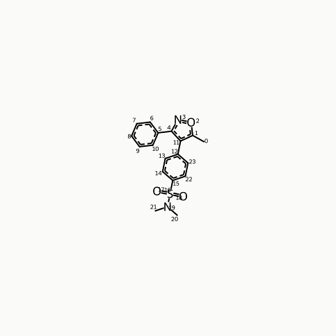 Cc1onc(-c2ccccc2)c1-c1ccc(S(=O)(=O)N(C)C)cc1